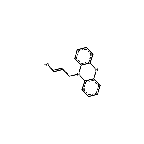 OC=CCN1c2ccccc2Nc2ccccc21